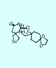 CC1(CN2C(=O)NC(=O)CC23CCOC3)CCC2(CC1)OCCO2